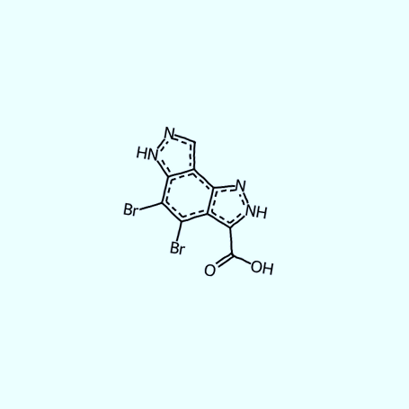 O=C(O)c1[nH]nc2c1c(Br)c(Br)c1[nH]ncc12